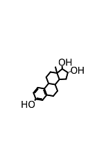 CC12CCC3c4ccc(O)cc4CCC3C1C[C@@H](O)C2O